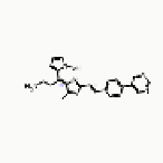 CC1=CC(/C=C/c2ccc(-c3cncnc3)cc2)=NC/1=C(/CCN)c1cccn1S